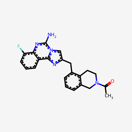 CC(=O)N1CCc2c(Cc3cn4c(N)nc5c(F)cccc5c4n3)cccc2C1